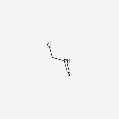 S=[PH]CCl